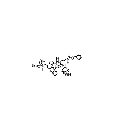 CC(C)C[C@@H](/C=C/[C@H](Cc1ccccc1)C(=O)N1CCC[C@@H]1C(=O)N[C@@H](CCCNC(=O)OCc1ccccc1)C(=O)NC1CC(C)(C)N(O)C(C)(C)C1)NC(=O)OC(C)(C)C